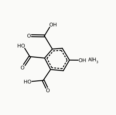 O=C(O)c1cc(O)cc(C(=O)O)c1C(=O)O.[AlH3]